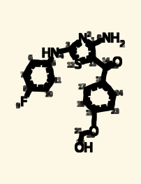 Nc1nc(Nc2ccc(F)cc2)sc1C(=O)c1ccc(OCO)cc1